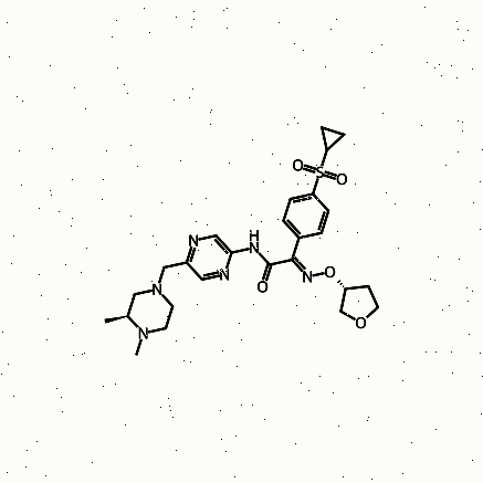 C[C@H]1CN(Cc2cnc(NC(=O)/C(=N/O[C@@H]3CCOC3)c3ccc(S(=O)(=O)C4CC4)cc3)cn2)CCN1C